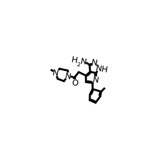 Cc1ccccc1-c1cc(CC(=O)N2CCN(C)CC2)c2c(N)n[nH]c2n1